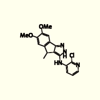 COc1cc2c(cc1OC)C(C)c1c-2n[nH]c1Nc1cccnc1Cl